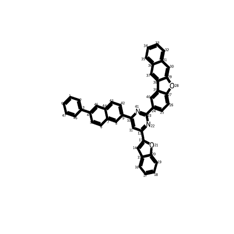 c1ccc(-c2ccc3cc(-c4cc(-c5cc6ccccc6o5)nc(-c5ccc6oc7cc8ccccc8cc7c6c5)n4)ccc3c2)cc1